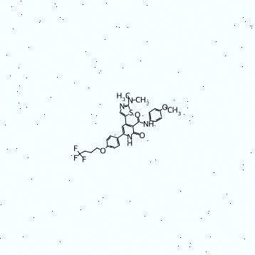 COc1ccc(NC(=O)c2c(-c3cnc(N(C)C)s3)cc(-c3ccc(OCCCC(F)(F)F)cc3)[nH]c2=O)cc1